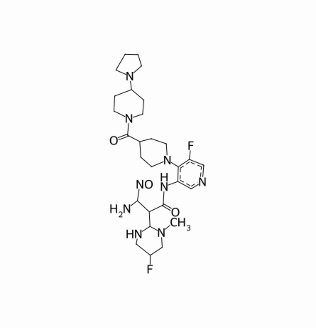 CN1CC(F)CNC1C(C(=O)Nc1cncc(F)c1N1CCC(C(=O)N2CCC(N3CCCC3)CC2)CC1)C(N)N=O